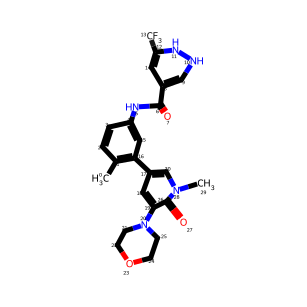 Cc1ccc(NC(=O)C2=CNNC(C(F)(F)F)=C2)cc1-c1cc(N2CCOCC2)c(=O)n(C)c1